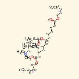 CCCCCCCC/C=C\COC(=O)CCCCCC(CCCCCC(=O)OC/C=C\CCCCCCCC)OC(=O)CC(C)(C)CC(C)(C)CN(C)C